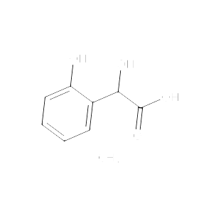 C.O=C(O)C(O)c1ccccc1O